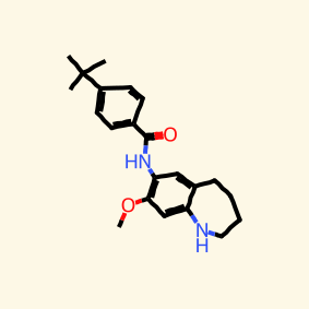 COc1cc2c(cc1NC(=O)c1ccc(C(C)(C)C)cc1)CCCCN2